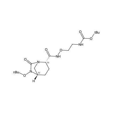 CCCCON1C(=O)N2C[C@@H]1CC[C@H]2C(=O)NOCCNC(=O)OC(C)(C)C